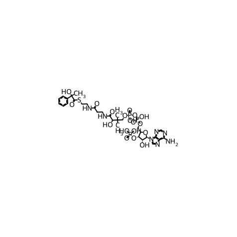 CC(O)(C(=O)SCCNC(=O)CCNC(=O)C(O)C(C)(C)COP(=O)(O)OP(=O)(O)OC[C@H]1O[C@@H](n2cnc3c(N)ncnc32)[C@H](O)[C@@H]1OP(=O)(O)O)c1ccccc1